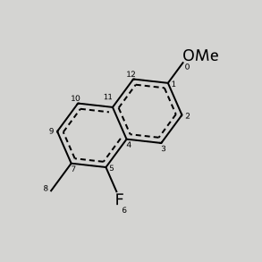 COc1ccc2c(F)c(C)ccc2c1